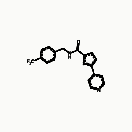 O=C(NCc1ccc(C(F)(F)F)cc1)c1ccc(-c2ccncc2)s1